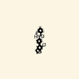 O=C(Nc1ccc(-c2cc3c(cc2Cl)OCC3)cc1)c1ccccc1F